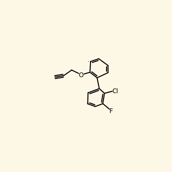 C#CCOc1[c]cccc1-c1cccc(F)c1Cl